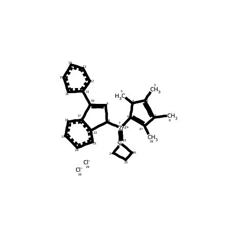 CC1=C(C)C(C)[C]([Zr+2]([CH]2C=C(c3ccccc3)c3ccccc32)=[Si]2CCC2)=C1C.[Cl-].[Cl-]